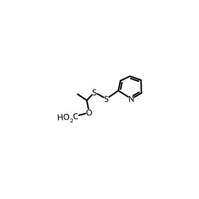 CC(OC(=O)O)SSc1ccccn1